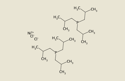 CC(C)CP(CC(C)C)CC(C)C.CC(C)CP(CC(C)C)CC(C)C.[Cl-].[Cl-].[Ni+2]